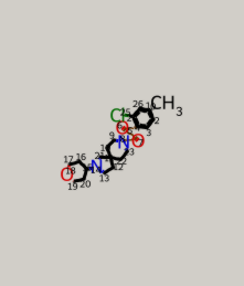 Cc1ccc(S(=O)(=O)N2CCC3(CCN(C4CCOCC4)C3)CC2)c(Cl)c1